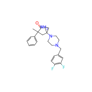 CC(CC1(N2CCN(Cc3ccc(F)c(F)c3)CC2)CC1)(C(N)=O)c1ccccc1